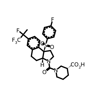 CC(F)(c1ccc2c(c1)CC[C@H]1N(C(=O)N3CCC[C@@H](C(=O)O)C3)CC[C@@]21S(=O)(=O)c1ccc(F)cc1)C(F)(F)F